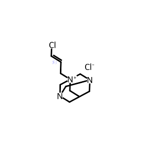 Cl/C=C/C[N+]12CC3CN(CN(C3)C1)C2.[Cl-]